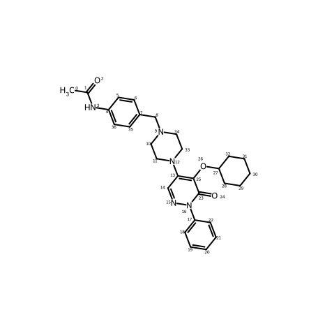 CC(=O)Nc1ccc(CN2CCN(c3cnn(-c4ccccc4)c(=O)c3OC3CCCCC3)CC2)cc1